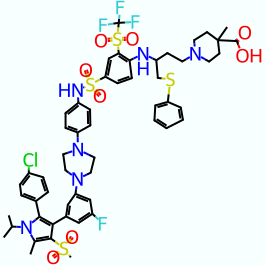 Cc1c(S(C)(=O)=O)c(-c2cc(F)cc(N3CCN(c4ccc(NS(=O)(=O)c5ccc(NC(CCN6CCC(C)(C(=O)O)CC6)CSc6ccccc6)c(S(=O)(=O)C(F)(F)F)c5)cc4)CC3)c2)c(-c2ccc(Cl)cc2)n1C(C)C